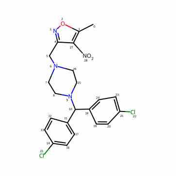 Cc1onc(CN2CCN(C(c3ccc(Cl)cc3)c3ccc(Cl)cc3)CC2)c1[N+](=O)[O-]